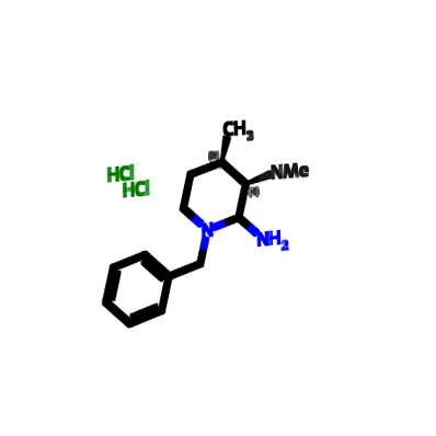 CN[C@H]1C(N)N(Cc2ccccc2)CC[C@H]1C.Cl.Cl